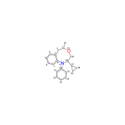 CC1Cc2ccccc2N(c2ccccc2)C(C2CC2)CO1